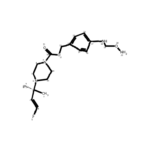 CC(C)[C@](C)(/C=C/F)N1CCN(C(=O)OCc2ccc(NCON)cc2)CC1